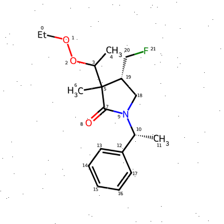 CCOOC(C)C1(C)C(=O)N([C@H](C)c2ccccc2)C[C@H]1CF